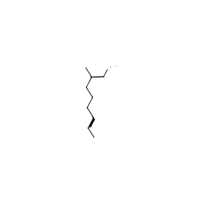 C/C=C/CCCC(C)CCCCCC